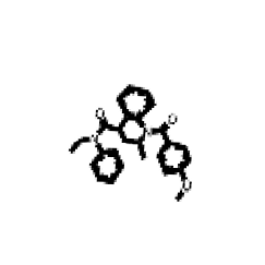 CCN(C(=O)C1CC(C)N(C(=O)c2ccc(OC)cc2)c2ccccc21)c1ccccc1